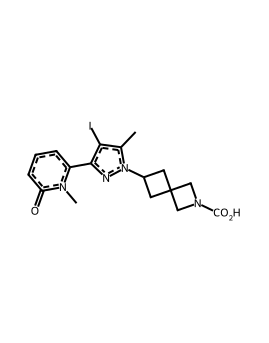 Cc1c(I)c(-c2cccc(=O)n2C)nn1C1CC2(C1)CN(C(=O)O)C2